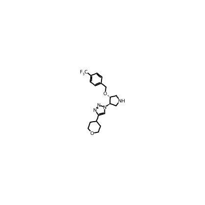 FC(F)(F)c1ccc(CO[C@@H]2CNC[C@H]2n2cc(C3CCOCC3)nn2)cc1